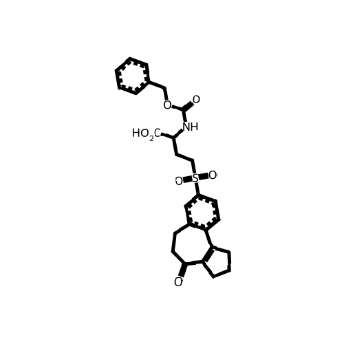 O=C(NC(CCS(=O)(=O)c1ccc2c(c1)CCC(=O)C1=C2CCC1)C(=O)O)OCc1ccccc1